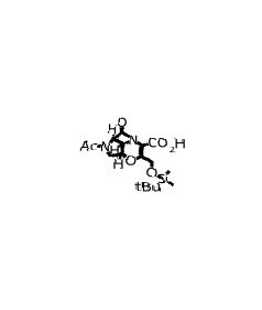 CC(=O)N1C[C@H]2OC(CO[Si](C)(C)C(C)(C)C)=C(C(=O)O)N3C(=O)[C@@H]1[C@@H]23